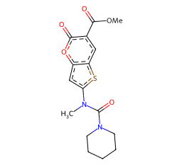 COC(=O)c1cc2sc(N(C)C(=O)N3CCCCC3)cc2oc1=O